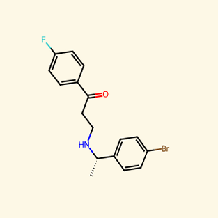 C[C@H](NCCC(=O)c1ccc(F)cc1)c1ccc(Br)cc1